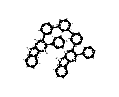 c1ccc(-c2nc3c(nc2-c2cccc(-c4cccc(-c5cccc(-c6nc7sc8ccccc8c7nc6-c6ccccc6)c5)c4)c2)oc2ccccc23)cc1